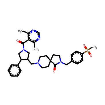 Cc1ncnc(C)c1C(=O)N1CC(CN2CCC3(CC2)CCN(Cc2ccc(S(C)(=O)=O)cc2)C3=O)C(c2ccccc2)C1